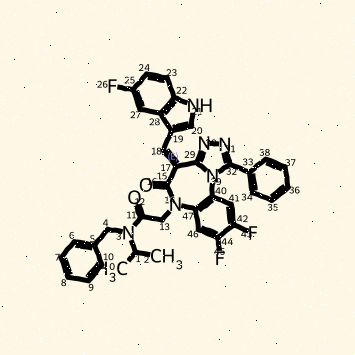 CC(C)N(Cc1ccccc1)C(=O)CN1C(=O)/C(=C/c2c[nH]c3ccc(F)cc23)c2nnc(-c3ccccc3)n2-c2cc(F)c(F)cc21